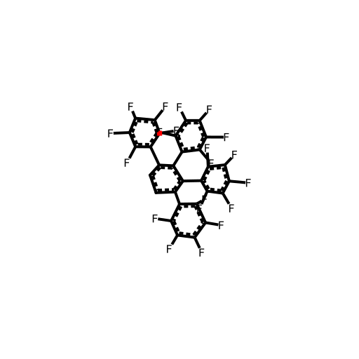 Fc1c(F)c(F)c(-c2ccc(-c3c(F)c(F)c(F)c(F)c3F)c(-c3c(F)c(F)c(F)c(F)c3F)c2-c2c(F)c(F)c(F)c(F)c2F)c(F)c1F